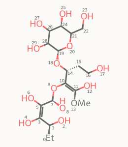 CC[C@H](O)/C(O)=C(/O)[C@H](O)O/C(=C(/O)OC)[C@@H](CCO)O[C@@H]1OC(CO)[C@H](O)C(O)C1O